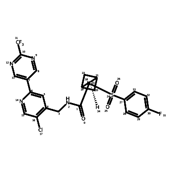 O=C(NCc1cc(-c2cnc(C(F)(F)F)nc2)ncc1Cl)[C@@H]1C2CC(C2)N1S(=O)(=O)c1ccc(F)cc1